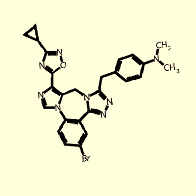 CN(C)c1ccc(Cc2nnc3n2Cc2c(-c4nc(C5CC5)no4)ncn2-c2ccc(Br)cc2-3)cc1